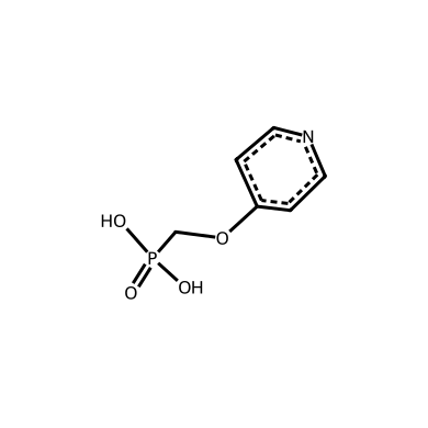 O=P(O)(O)COc1ccncc1